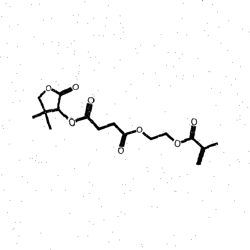 C=C(C)C(=O)OCCOC(=O)CCC(=O)OC1C(=O)OCC1(C)C